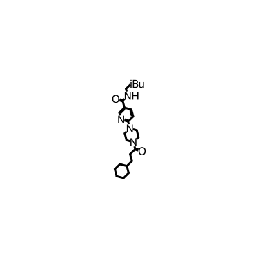 CCC(C)CNC(=O)c1ccc(N2CCN(C(=O)CCC3CCCCC3)CC2)nc1